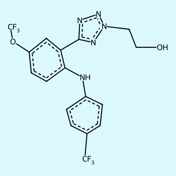 OCCn1nnc(-c2cc(OC(F)(F)F)ccc2Nc2ccc(C(F)(F)F)cc2)n1